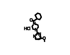 COc1ccnc(N2CCN(C(=O)C3CCCCC3)CC2)n1.Cl